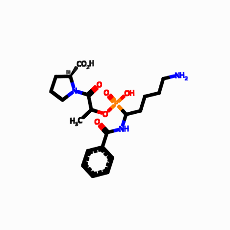 CC(OP(=O)(O)C(CCCCN)NC(=O)c1ccccc1)C(=O)N1CCC[C@H]1C(=O)O